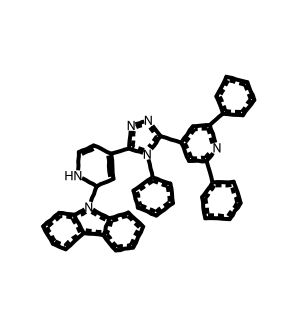 C1=CC(c2nnc(-c3cc(-c4ccccc4)nc(-c4ccccc4)c3)n2-c2ccccc2)=CC(n2c3ccccc3c3ccccc32)N1